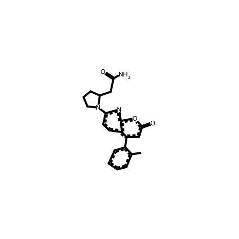 Cc1ccccc1-c1cc(=O)oc2nc(N3CCCC3CC(N)=O)ccc12